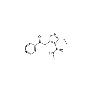 CCc1noc(CC(=O)c2ccncc2)c1C(=O)NC